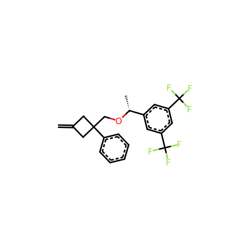 C=C1CC(CO[C@H](C)c2cc(C(F)(F)F)cc(C(F)(F)F)c2)(c2ccccc2)C1